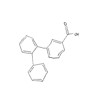 O=C(O)c1cccc(-c2ccccc2-c2ccccc2)c1